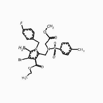 Bc1c(Br)c(C(=O)OCC)c(CN(CC(=O)OC)S(=O)(=O)c2ccc(C)cc2)n1Cc1ccc(F)cc1